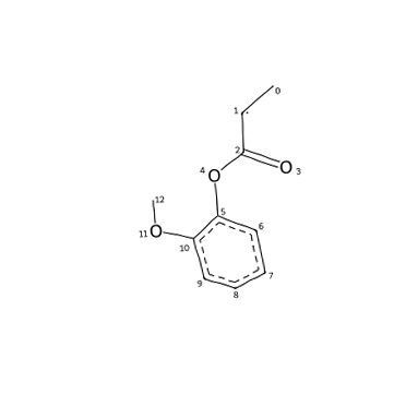 C[CH]C(=O)Oc1ccccc1OC